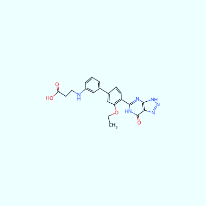 CCOc1cc(-c2cccc(NCCC(=O)O)c2)ccc1-c1nc2[nH]nnc2c(=O)[nH]1